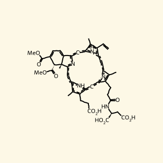 C=Cc1c(C)c2cc3nc(cc4[nH]c(cc5nc(cc1[nH]2)C(C)=C5CCC(=O)N[C@@H](CC(=O)O)C(=O)O)c(CCC(=O)O)c4C)[C@@]1(C)C3=CC=C(C(=O)OC)[C@H]1C(=O)OC